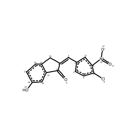 O=C1C(=Cc2ccc(Cl)c([N+](=O)[O-])c2)Cc2ccc(O)cc21